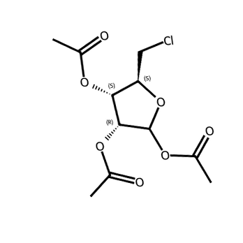 CC(=O)OC1O[C@H](CCl)[C@@H](OC(C)=O)[C@H]1OC(C)=O